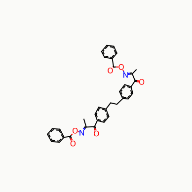 C/C(=N\OC(=O)c1ccccc1)C(=O)c1ccc(CCc2ccc(C(=O)/C(C)=N/OC(=O)c3ccccc3)cc2)cc1